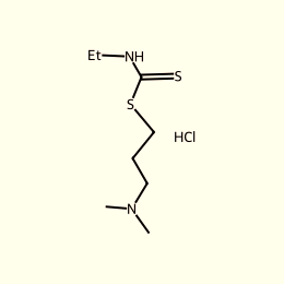 CCNC(=S)SCCCN(C)C.Cl